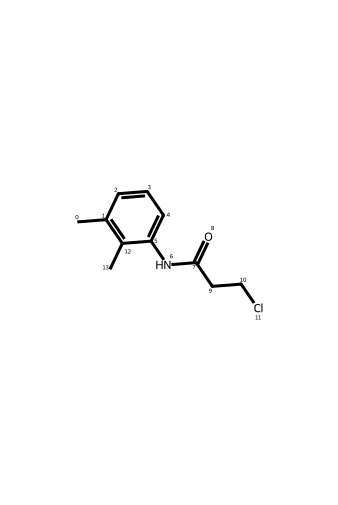 Cc1cccc(NC(=O)CCCl)c1C